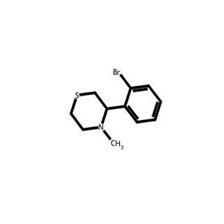 CN1CCSCC1c1ccccc1Br